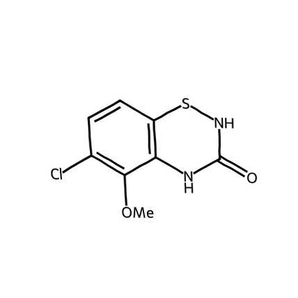 COc1c(Cl)ccc2c1NC(=O)NS2